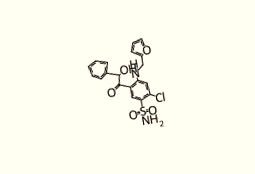 NS(=O)(=O)c1cc(C(=O)C(O)c2ccccc2)c(NCc2ccco2)cc1Cl